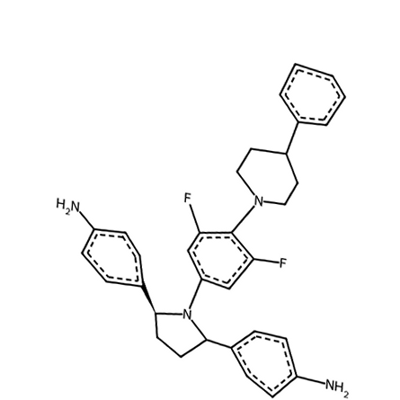 Nc1ccc(C2CC[C@@H](c3ccc(N)cc3)N2c2cc(F)c(N3CCC(c4ccccc4)CC3)c(F)c2)cc1